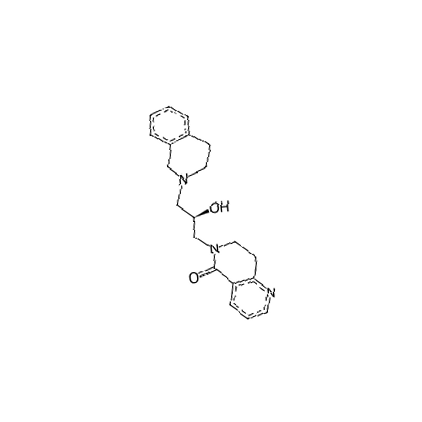 O=C1c2cccnc2CCN1C[C@H](O)CN1CCc2ccccc2C1